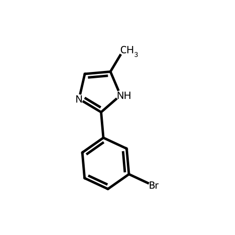 Cc1cnc(-c2cccc(Br)c2)[nH]1